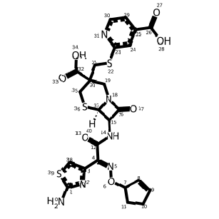 Nc1nc(C(=NOC2C=CCC2)C(=O)NC2C(=O)N3CC(CSc4cc(C(=O)O)ccn4)(C(=O)O)CS[C@H]23)cs1